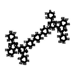 c1ccc(-c2nc(-c3ccc(-c4ccc(-c5ccc(-c6cc(-c7nc(-c8ccccc8)nc8ccccc78)nc(-c7ccccc7)n6)cc5)cc4)cc3)cc(-c3nc(-c4ccccc4)nc4ccccc34)n2)cc1